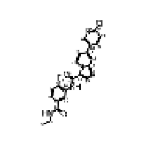 CCNC(=O)c1ccc(F)c(NC(=O)c2cnc3cc(-c4ccc(Cl)nc4)ccn23)c1